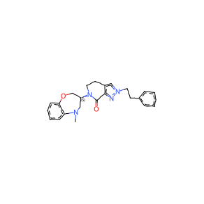 CN1C[C@H](N2CCc3cn(CCc4ccccc4)nc3C2=O)COc2ccccc21